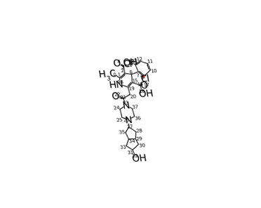 CC1=C(C(=O)O)C(c2c(Cl)cccc2Cl)C(C(=O)O)=C(CC(=O)N2CCN(C3CC4CC(O)CC4C3)CC2)N1